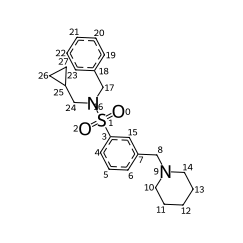 O=S(=O)(c1cccc(CN2CCCCC2)c1)N(Cc1ccccc1)CC1CC1